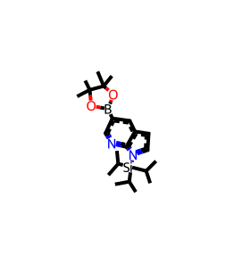 CC(C)[Si](C(C)C)(C(C)C)n1ccc2cc(B3OC(C)(C)C(C)(C)O3)cnc21